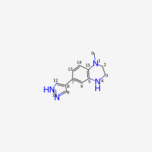 CN1CCNc2cc(-c3cn[nH]c3)ccc21